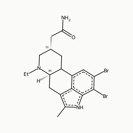 CCN1C[C@H](CC(N)=O)CC2c3cc(Br)c(Br)c4[nH]c(C)c(c34)C[C@H]21